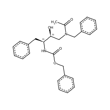 CC(=O)N(Cc1ccccc1)C[C@H](O)[C@H](Cc1ccccc1)NC(=O)OCc1ccccc1